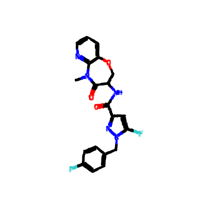 CN1C(=O)C(NC(=O)c2cc(F)n(Cc3ccc(F)cc3)n2)COc2cccnc21